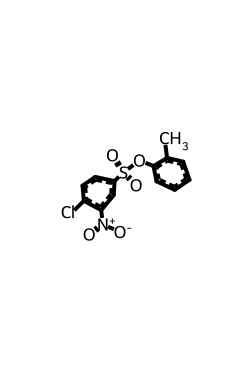 Cc1ccccc1OS(=O)(=O)c1ccc(Cl)c([N+](=O)[O-])c1